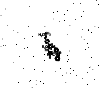 Cc1cc(Nc2nc(Sc3ccc(S(=O)(=O)Cc4ccccc4)cc3)nc(N3CCN(CCN(C)C)CC3)c2C)n[nH]1